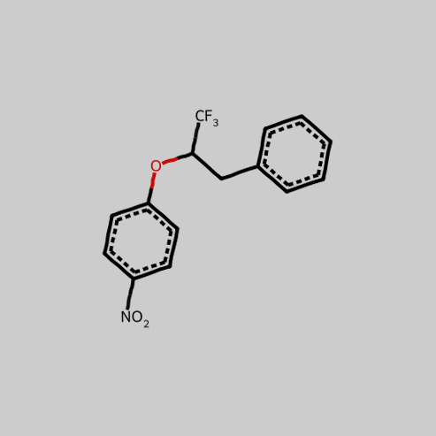 O=[N+]([O-])c1ccc(OC(Cc2ccccc2)C(F)(F)F)cc1